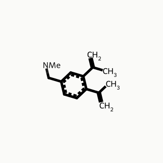 C=C(C)c1ccc(CNC)cc1C(=C)C